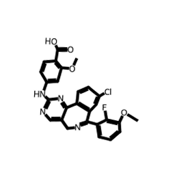 COc1cc(Nc2ncc3c(n2)-c2ccc(Cl)cc2C(c2cccc(OC)c2F)=NC3)ccc1C(=O)O